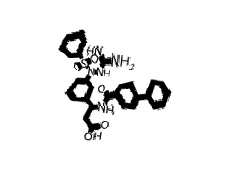 N=C(N)NN(c1cccc(C(CC(=O)O)NC(=O)c2ccc(-c3ccccc3)cc2)c1)S(=O)(=O)c1ccccc1